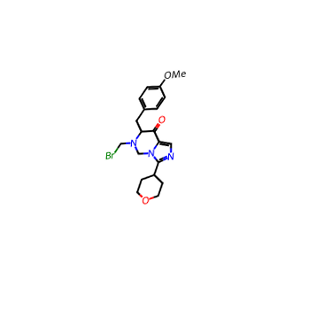 COc1ccc(CC2C(=O)c3cnc(C4CCOCC4)n3CN2CBr)cc1